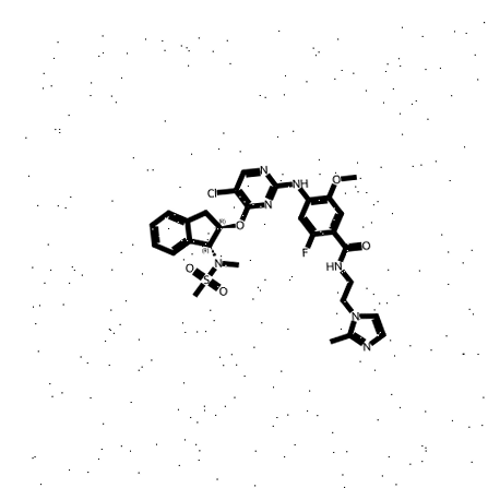 COc1cc(C(=O)NCCn2ccnc2C)c(F)cc1Nc1ncc(Cl)c(O[C@@H]2Cc3ccccc3[C@H]2N(C)S(C)(=O)=O)n1